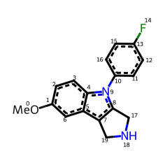 COc1ccc2c(c1)c1c(n2-c2ccc(F)cc2)CNC1